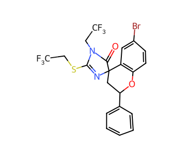 O=C1N(CC(F)(F)F)C(SCC(F)(F)F)=NC12CC(c1ccccc1)Oc1ccc(Br)cc12